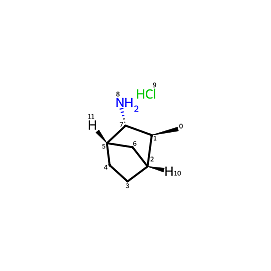 C[C@H]1[C@@H]2CC[C@@H](C2)[C@@H]1N.Cl